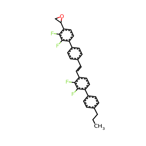 CCCc1ccc(-c2ccc(/C=C/c3ccc(-c4ccc(C5CO5)c(F)c4F)cc3)c(F)c2F)cc1